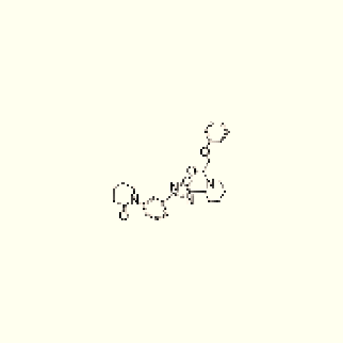 O=C1CCCCN1c1cccc(-c2noc(C3CCCCN3C(=O)COc3ccccc3)n2)c1